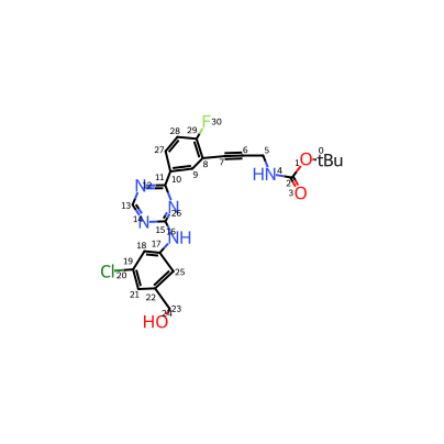 CC(C)(C)OC(=O)NCC#Cc1cc(-c2ncnc(Nc3cc(Cl)cc(CO)c3)n2)ccc1F